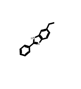 CCc1ccc2nc(-c3ccccc3)[nH]c2c1